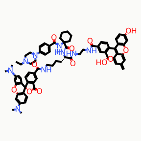 C=c1ccc2c(c1)Oc1cc(O)ccc1C=2c1ccc(C(=O)NCCNC(=O)[C@H](CCCCNC(=O)c2ccc3c(c2)C(=O)OC32c3ccc(N(C)C)cc3Oc3cc(N(C)C)ccc32)NC(=O)C2(NC(=O)c3ccc(N4CCN(CC)CC4)cc3)CCCCC2)cc1C(=O)O